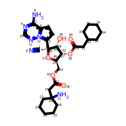 N#C[C@@]1(c2ccc3c(N)ncnn23)O[C@H](COC(=O)CC2(N)CCCCC2)[C@@H](OC(=O)CC2CCCCC2)[C@H]1O